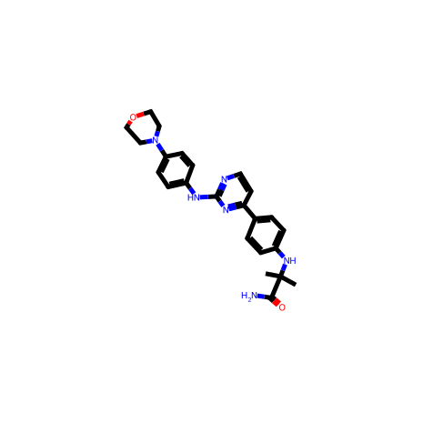 CC(C)(Nc1ccc(-c2ccnc(Nc3ccc(N4CCOCC4)cc3)n2)cc1)C(N)=O